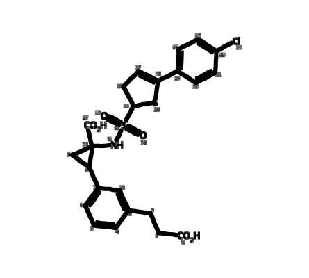 O=C(O)CCc1cccc(C2CC2(NS(=O)(=O)C2CC=C(c3ccc(Cl)cc3)S2)C(=O)O)c1